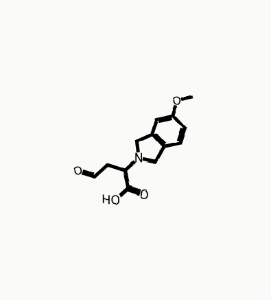 COc1ccc2c(c1)CN(C(CC=O)C(=O)O)C2